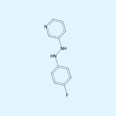 Fc1ccc(NNc2cccnc2)cc1